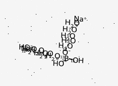 O.O.O.O.O.O.O.O.O.O.[Na+].[Na+].[O-]B(O)O.[OH-]